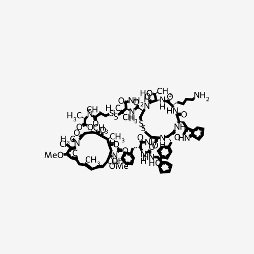 COc1cc2cc(c1Cl)N(C)C(=O)C[C@H](OC(=O)[C@H](C)N(C)C(=O)CCSSC(C)(C)[C@H](NC(=O)[C@@H]1CSSC[C@H](NC(=O)[C@@H](Cc3ccccc3)NC(=O)NCc3ccccc3)C(=O)N[C@@H](Cc3ccc(O)cc3)C(=O)N[C@H](Cc3c[nH]c4ccccc34)C(=O)N[C@@H](CCCCN)C(=O)N[C@@H]([C@@H](C)O)C(=O)N1)C(N)=O)[C@]1(C)OC1[C@H](C)[C@@H]1C[C@@](O)(NC(=O)O1)[C@H](OC)/C=C/C=C(\C)C2